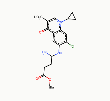 CC(C)(C)OC(=O)CCC(N)Nc1cc2c(=O)c(C(=O)O)cn(C3CC3)c2cc1Cl